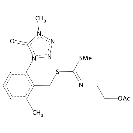 CS/C(=N\CCOC(C)=O)SCc1c(C)cccc1-n1nnn(C)c1=O